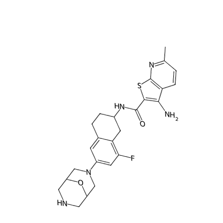 Cc1ccc2c(N)c(C(=O)NC3CCc4cc(N5CC6CNCC(C5)O6)cc(F)c4C3)sc2n1